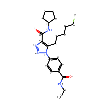 O=C(NCC(F)(F)F)c1ccc(-n2nnc(C(=O)NC3CCCC3)c2CCCCCF)cc1